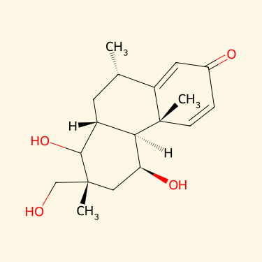 C[C@H]1C[C@H]2C(O)[C@@](C)(CO)C[C@H](O)[C@@H]2[C@@]2(C)C=CC(=O)C=C12